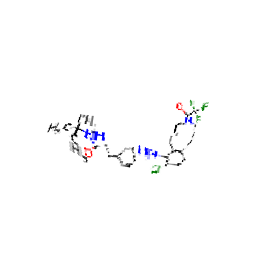 CC(C)(C)NC(=O)CCc1ccc(CNc2c(Cl)ccc3c2CCN(C(=O)C(F)(F)F)CC3)cc1